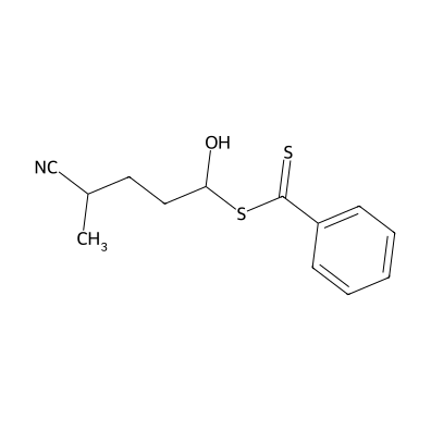 CC(C#N)CCC(O)SC(=S)c1ccccc1